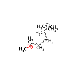 CCOC(=O)C(C)=CC=CC(C)=CC=CC=C(C)C=CC=C(C)C=CC1=C(C)CCCC1(C)C